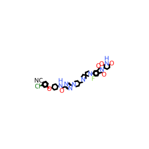 N#Cc1ccc(O[C@H]2CC[C@H](NC(=O)c3cnc(N4CCC(CN5CCC6(CCN(c7cc8c(cc7F)C(=O)N(C7CCC(=O)NC7=O)C8=O)C6)C5)CC4)cn3)CC2)cc1Cl